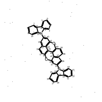 c1ccc2c(c1)c1ccccc1n2-c1cc2ccc3oc4cc(-n5c6ccccc6c6ccccc65)cc5ccc6oc(c1)c2c3-c6c54